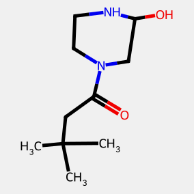 CC(C)(C)CC(=O)N1CCNC(O)C1